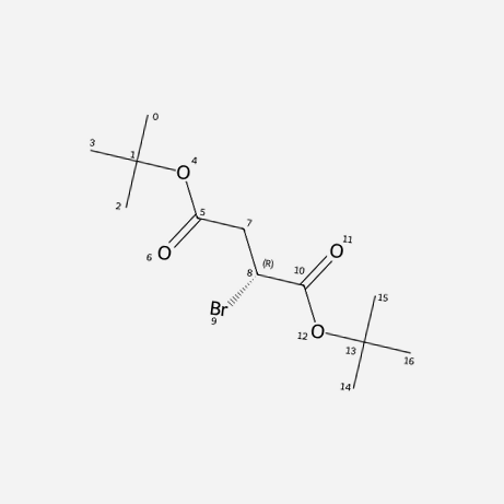 CC(C)(C)OC(=O)C[C@@H](Br)C(=O)OC(C)(C)C